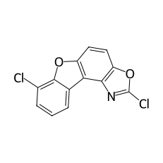 Clc1nc2c(ccc3oc4c(Cl)cccc4c32)o1